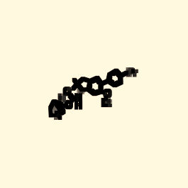 CCOc1cc2c(cc1-c1ccc(C(C)C)cc1)CC(C)(C)[C@H]2NC(=O)O[C@@H]1CN2CCC1CC2